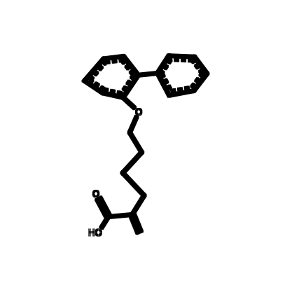 C=C(CCCCOc1ccccc1-c1ccccc1)C(=O)O